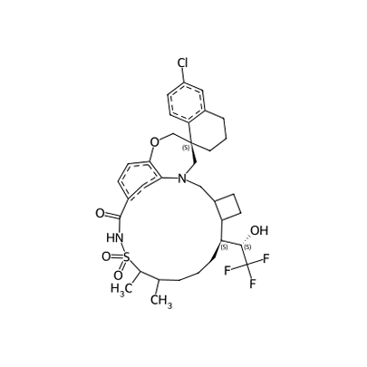 CC1CCC[C@H]([C@H](O)C(F)(F)F)C2CCC2CN2C[C@@]3(CCCc4cc(Cl)ccc43)COc3ccc(cc32)C(=O)NS(=O)(=O)C1C